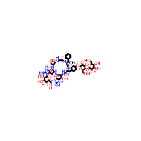 CC(c1ccc(F)cc1)C1NC(=O)CNC(=O)C(CO)NC(=O)C(C(O)C2CNC(=N)N2C2OC(CO)C(O)C(O)C2O)NC(=O)C(C(O)C2CNC(=N)N2)NC(=O)C(Cc2ccc(OC3OC(CO)C(OC4OC(CO)C(O)C(O)C4O)C(O)C3O)cc2)NC1=O